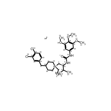 CC[N+]1(C[C@@H](NC(=O)Nc2cc(OC)c(OC)c(OC)c2)C(C)C)CCC(Cc2ccc(Cl)c(Cl)c2)CC1.[I-]